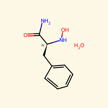 NC(=O)[C@H](Cc1ccccc1)NO.O